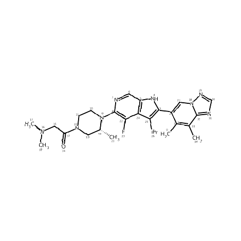 Cc1c(-c2[nH]c3cnc(N4CCN(C(=O)CN(C)C)C[C@H]4C)c(F)c3c2C(C)C)cn2ncnc2c1C